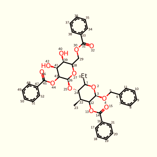 CCC1O[C@@H](OCc2ccccc2)C(OC(=O)c2ccccc2)[C@@H](C)[C@@H]1O[C@@H]1OC(COC(=O)c2ccccc2)[C@H](O)[C@H](O)C1OC(=O)c1ccccc1